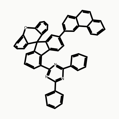 c1ccc(-c2nc(-c3ccccc3)nc(-c3cccc4c3-c3ccc(-c5ccc6ccc7ccccc7c6c5)cc3C43c4ccccc4Oc4ccccc43)n2)cc1